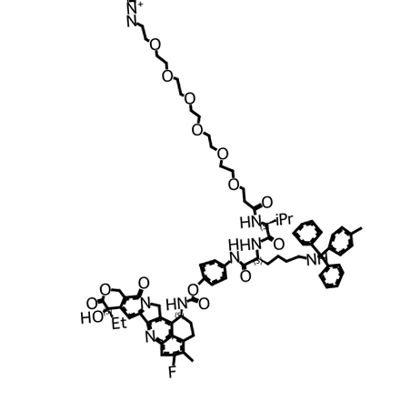 CC[C@@]1(O)C(=O)OCc2c1cc1n(c2=O)Cc2c-1nc1cc(F)c(C)c3c1c2[C@@H](NC(=O)Oc1ccc(NC(=O)[C@H](CCCCNC(c2ccccc2)(c2ccccc2)c2ccc(C)cc2)NC(=O)[C@@H](NC(=O)CCOCCOCCOCCOCCOCCOCCN=[N+]=[N-])C(C)C)cc1)CC3